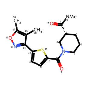 CNC(=O)[C@@H]1CCCN(C(=O)c2ccc(-c3noc(C(F)(F)F)c3C)s2)C1